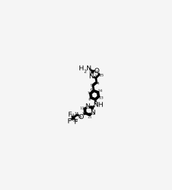 NC1=NC(C=Cc2ccc(Nc3ncc(OCC(F)(F)F)cn3)cc2)CO1